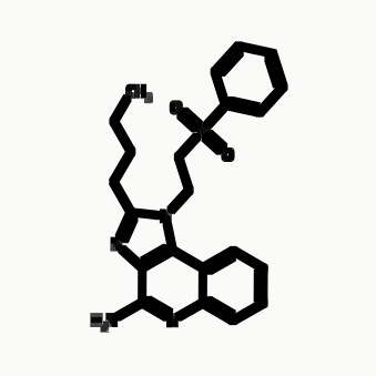 CCCCc1nc2c(N)nc3ccccc3c2n1CCS(=O)(=O)c1ccccc1